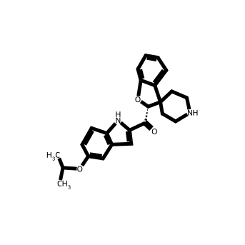 CC(C)Oc1ccc2[nH]c(C(=O)[C@@H]3Oc4ccccc4C34CCNCC4)cc2c1